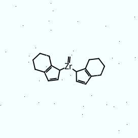 [CH2]=[Zr]([CH]1C=CC2=C1CCCC2)[CH]1C=CC2=C1CCCC2